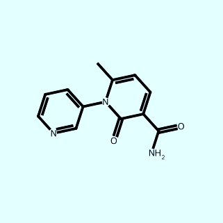 Cc1ccc(C(N)=O)c(=O)n1-c1cccnc1